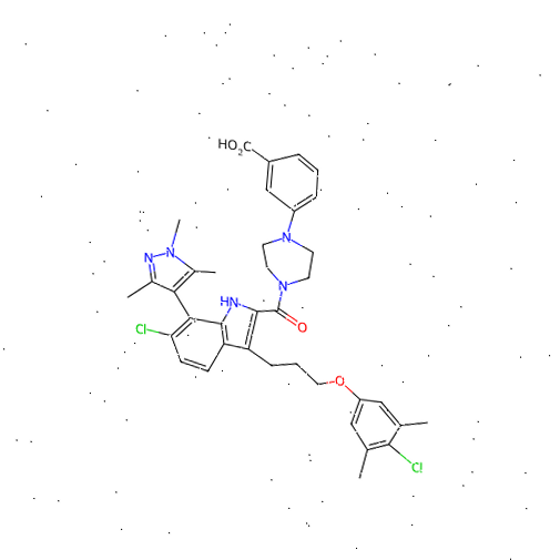 Cc1cc(OCCCc2c(C(=O)N3CCN(c4cccc(C(=O)O)c4)CC3)[nH]c3c(-c4c(C)nn(C)c4C)c(Cl)ccc23)cc(C)c1Cl